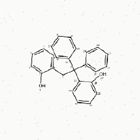 Oc1ccccc1CC(c1ccccc1)(c1ccccc1)c1ccccc1O